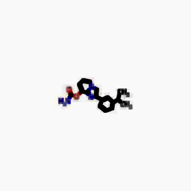 CC(C)c1cccc(-c2cn3cccc(OC(N)=O)c3n2)c1